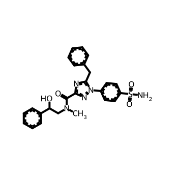 CN(CC(O)c1ccccc1)C(=O)c1nc(Cc2ccccc2)n(-c2ccc(S(N)(=O)=O)cc2)n1